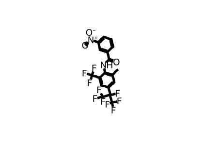 Cc1cc(C(F)(C(F)(F)F)C(F)(F)F)cc(C(F)(F)F)c1NC(=O)c1cccc([N+](=O)[O-])c1